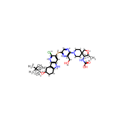 C[C@@H]1OCC2(CCN(c3ncc(Sc4cc5[nH]c6c(c5nc4Cl)CC(O[Si](C)(C)C(C)(C)C)CC6)nc3CO)CC2)[C@@H]1NC(=O)O